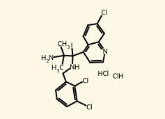 CC(C)(N)C(I)(NCc1cccc(Cl)c1Cl)c1ccnc2cc(Cl)ccc12.Cl.Cl